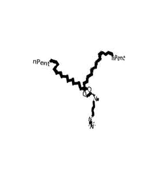 CCCCC/C=C\C/C=C\CCCCCCCCC1(CCCCCCCC/C=C\C/C=C\CCCCC)OC[C@H](CN(C)CCCCN=[N+]=[N-])O1